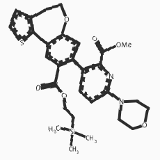 COC(=O)c1nc(N2CCOCC2)ccc1-c1cc2c(cc1C(=O)OCC[Si](C)(C)C)-c1sccc1CCO2